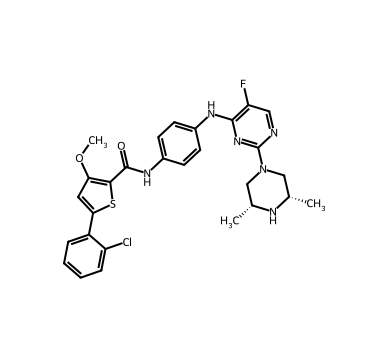 COc1cc(-c2ccccc2Cl)sc1C(=O)Nc1ccc(Nc2nc(N3C[C@@H](C)N[C@@H](C)C3)ncc2F)cc1